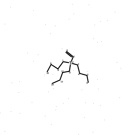 C=[CH][Ti]([CH2]CCC)([CH2]CCC)[CH2]CCC